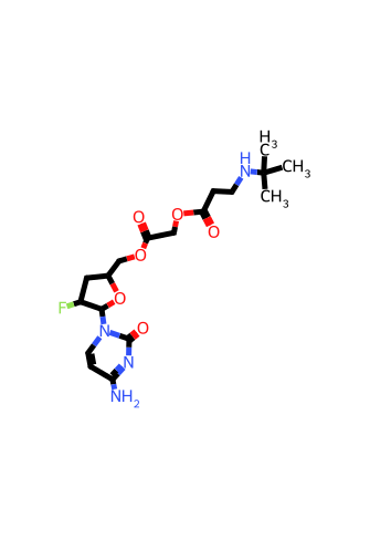 CC(C)(C)NCCC(=O)OCC(=O)OCC1CC(F)C(n2ccc(N)nc2=O)O1